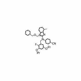 CCOc1cc(CN(c2ccc(C#N)cc2)c2nc3c(C)cccc3n2COCc2ccccc2)c(F)c(OC(C)C)c1